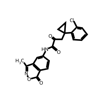 Cc1noc(=O)c2ccc(NC(=O)C(=O)CC3(c4ccccc4Cl)CC3)cc12